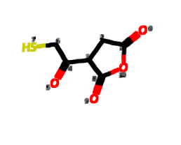 O=C1CC(C(=O)CS)C(=O)O1